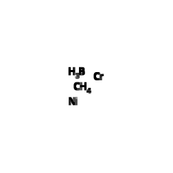 B.C.[Cr].[Ni]